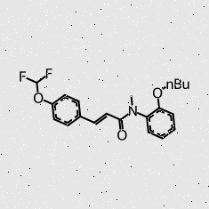 CCCCOc1ccccc1N(C)C(=O)/C=C/c1ccc(OC(F)F)cc1